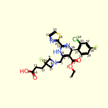 CCOC(=O)C1=C(CN2CC(F)(CCC(=O)O)C2)NC(c2nccs2)=N[C@H]1c1ccc(F)cc1Cl